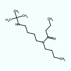 CCCCN(CCCCNC(C)(C)C)C(=O)CCC